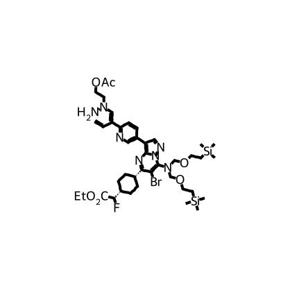 C=C/C(=C\N(N)CCOC(C)=O)c1ccc(-c2cnn3c(N(COCC[Si](C)(C)C)COCC[Si](C)(C)C)c(Br)c([C@H]4CC[C@@H](C(F)C(=O)OCC)CC4)nc23)cn1